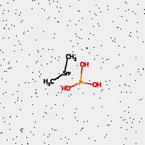 OP(O)O.[CH3][Sn][CH3]